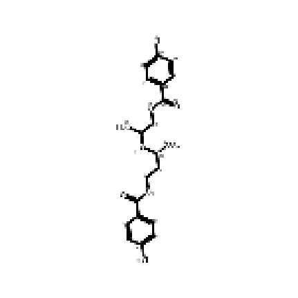 CC(=O)O[C@@H](CCOC(=O)c1ccc(Cl)cc1)OC(C)COC(=O)c1ccc(Cl)cc1